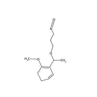 COC1=C(C(C)OCCCN=O)C=CCC1